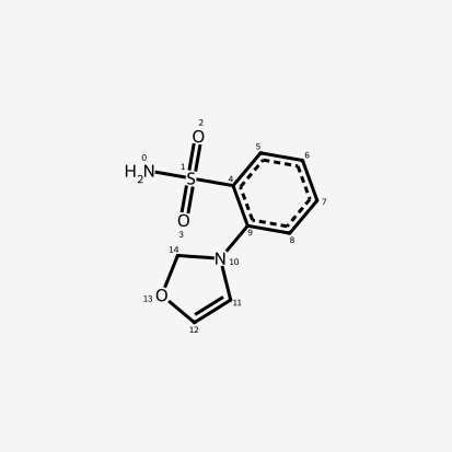 NS(=O)(=O)c1ccccc1N1C=COC1